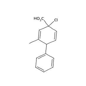 CC1=CC(Cl)(C(=O)O)C=CC1c1ccccc1